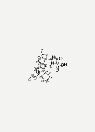 CCCCc1nc(Cl)c(C(=O)O)n1Cc1c2ccocc-2c(Br)c1-c1ccccc1C(=O)OCC